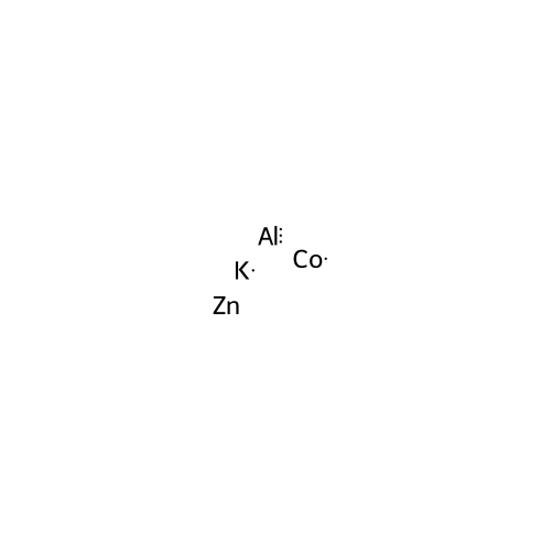 [Al].[Co].[K].[Zn]